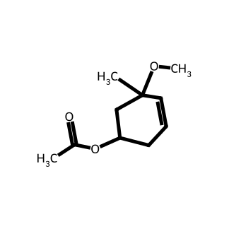 COC1(C)C=CCC(OC(C)=O)C1